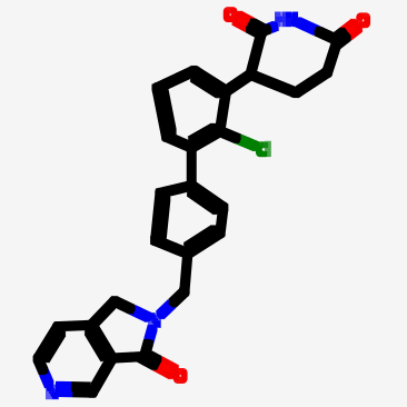 O=C1CCC(c2cccc(-c3ccc(CN4Cc5ccncc5C4=O)cc3)c2Cl)C(=O)N1